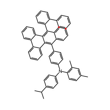 Cc1ccc(N(c2ccc(-c3c4ccccc4c(-c4ccccc4-c4ccccc4)c4c5ccccc5c5ccccc5c34)cc2)c2ccc(C(C)C)cc2)c(C)c1